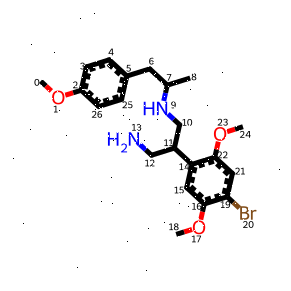 COc1ccc(CC(C)NCC(CN)c2cc(OC)c(Br)cc2OC)cc1